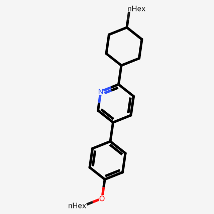 CCCCCCOc1ccc(-c2ccc(C3CCC(CCCCCC)CC3)nc2)cc1